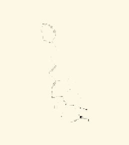 C[C@]12CCC(OCc3ccccc3)=CC1=CC[C@@H]1[C@@H]2CC[C@]2(C)C(=O)CC[C@@H]12